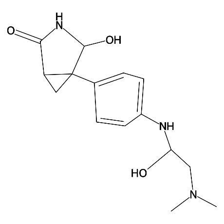 CN(C)CC(O)Nc1ccc(C23CC2C(=O)NC3O)cc1